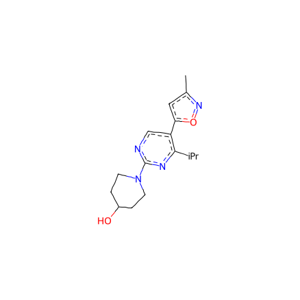 Cc1cc(-c2cnc(N3CCC(O)CC3)nc2C(C)C)on1